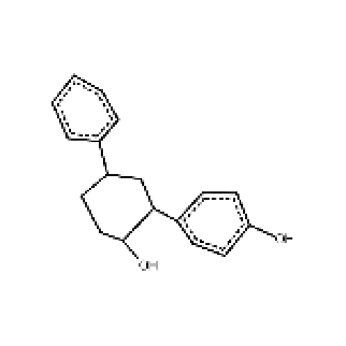 Oc1ccc(C2CC(c3ccccc3)CCC2O)cc1